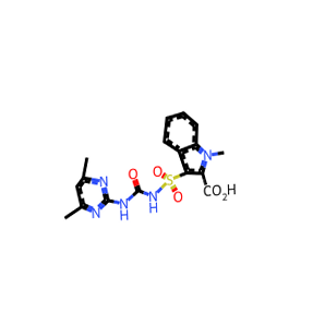 Cc1cc(C)nc(NC(=O)NS(=O)(=O)c2c(C(=O)O)n(C)c3ccccc23)n1